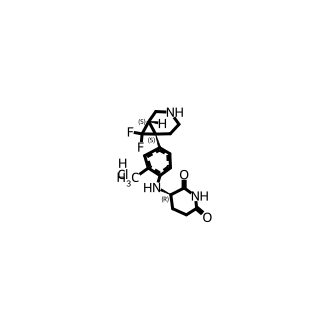 Cc1cc([C@]23CCNC[C@H]2C3(F)F)ccc1N[C@@H]1CCC(=O)NC1=O.Cl